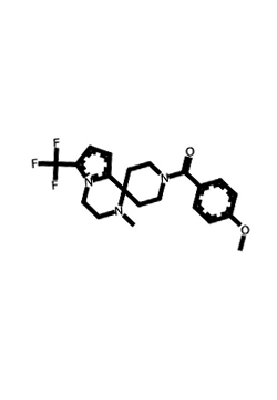 COc1ccc(C(=O)N2CCC3(CC2)c2ccc(C(F)(F)F)n2CCN3C)cc1